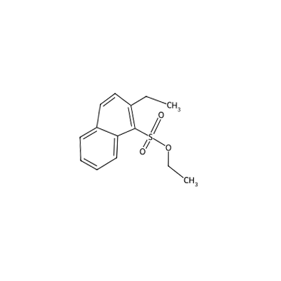 CCOS(=O)(=O)c1c(CC)ccc2ccccc12